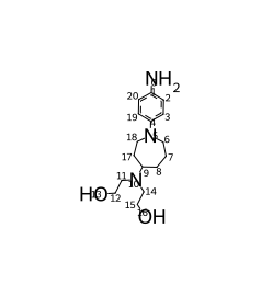 Nc1ccc(N2CCCC(N(CCO)CCO)CC2)cc1